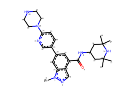 CC(C)n1ncc2c(C(=O)NC3CC(C)(C)NC(C)(C)C3)cc(-c3ccc(N4CCNCC4)nc3)cc21